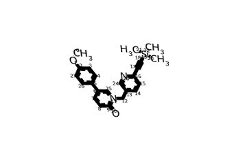 COc1ccc(-c2ccc(=O)n(Cc3ccc(C#C[Si](C)(C)C)nc3)c2)cc1